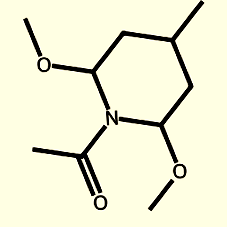 COC1CC(C)CC(OC)N1C(C)=O